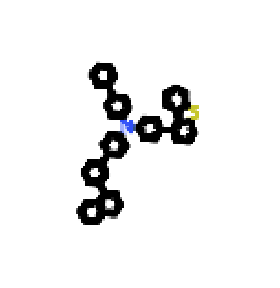 c1ccc(-c2ccc(N(c3ccc(-c4cccc(-c5cccc6ccccc56)c4)cc3)c3ccc(-c4cccc5sc6ccccc6c45)cc3)cc2)cc1